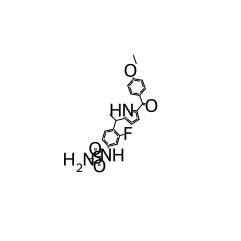 CCOc1ccc(C(=O)c2ccc(C(C)c3ccc(NS(N)(=O)=O)cc3F)[nH]2)cc1